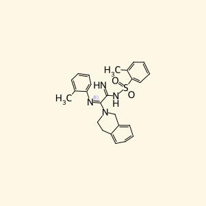 Cc1ccccc1/N=C(\C(=N)NS(=O)(=O)c1ccccc1C)N1CCc2ccccc2C1